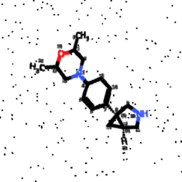 CC1CN(C2C=CC([C@]34CNC[C@H]3C4)=CC2)CC(C)O1